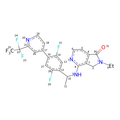 CCN1Cc2c(ccnc2NC(C)c2cc(F)c(-c3ccnc(C(F)(F)C(F)(F)F)c3)cc2F)C1=O